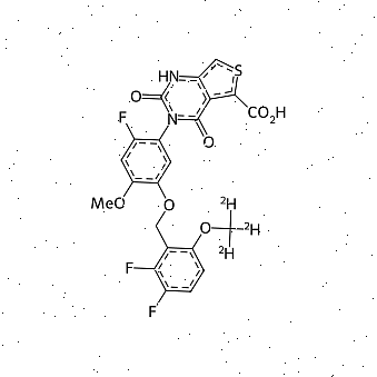 [2H]C([2H])([2H])Oc1ccc(F)c(F)c1COc1cc(-n2c(=O)[nH]c3csc(C(=O)O)c3c2=O)c(F)cc1OC